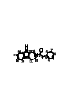 O=C(Cc1ccccc1)N1CCc2c([nH]c3ccccc23)C1